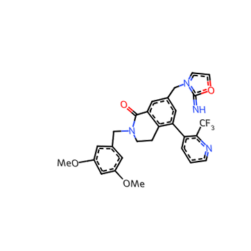 COc1cc(CN2CCc3c(cc(Cn4ccoc4=N)cc3-c3cccnc3C(F)(F)F)C2=O)cc(OC)c1